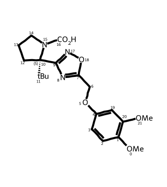 COc1ccc(OCc2nc([C@@]3(C(C)(C)C)CCCN3C(=O)O)no2)cc1OC